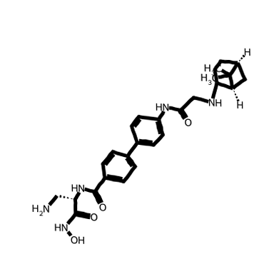 CC1(C)[C@H]2CCC(NCC(=O)Nc3ccc(-c4ccc(C(=O)N[C@@H](CN)C(=O)NO)cc4)cc3)[C@@H]1C2